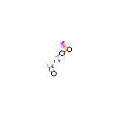 CCCC(=O)N(CCNC(=O)C(CS)Cc1ccccc1F)Cc1ccc(-c2ccccc2S(=O)(=O)N(O)C(=O)CC)cc1F